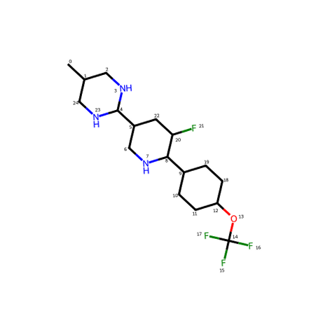 CC1CNC(C2CNC(C3CCC(OC(F)(F)F)CC3)C(F)C2)NC1